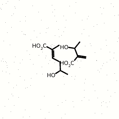 C/C(=C\CC(C)O)C(=O)O.C=C(C(=O)O)C(C)O